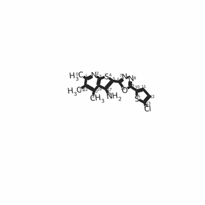 Cc1nc2sc(-c3nnc(-c4ccc(Cl)s4)o3)c(N)c2c(C)c1C